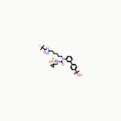 CC(C)(O)c1ccc(-c2cccc(N(CCCCCc3noc(C(C)(C)F)n3)C(=O)NCC3(S(C)(=O)=O)CC3)c2)cc1